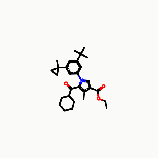 CCOC(=O)c1cn(-c2cc(C(C)(C)C)cc(C3(C)CC3)c2)c(C(=O)C2CCCCC2)c1C